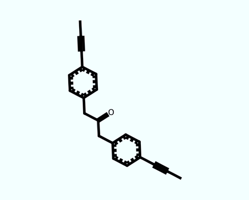 CC#Cc1ccc(CC(=O)Cc2ccc(C#CC)cc2)cc1